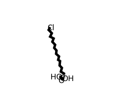 O=P(O)(O)CCCCCCCCCCCCCCCCCl